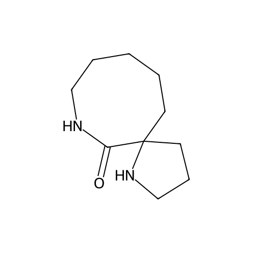 O=C1NCCCCCC12CCCN2